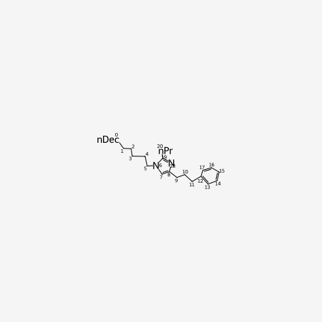 CCCCCCCCCCCCCCCn1cc(CCCc2ccccc2)nc1CCC